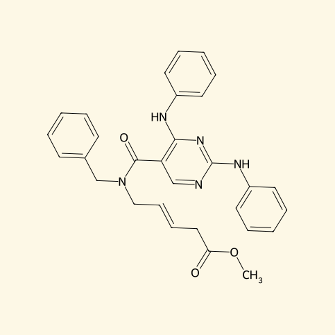 COC(=O)C/C=C/CN(Cc1ccccc1)C(=O)c1cnc(Nc2ccccc2)nc1Nc1ccccc1